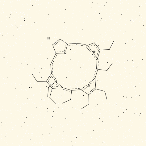 CCC1=C(CC)c2nc1c(CC)c1[nH]c(cc3nc(cc4c(CC)c(CC)c(c2CC)n4CC)C=C3)cc1CC.F